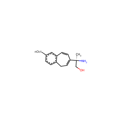 CCCCCCCCc1ccc2c(c1)C=CC([C@@](C)(N)CO)=CC2